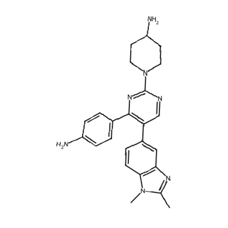 Cc1nc2cc(-c3cnc(N4CCC(N)CC4)nc3-c3ccc(N)cc3)ccc2n1C